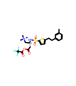 Cc1cccc(CCc2ccc(S(=O)(=O)N[C@H](CC(=O)OC(=O)C(F)(F)F)C[N+](C)(C)C)s2)c1